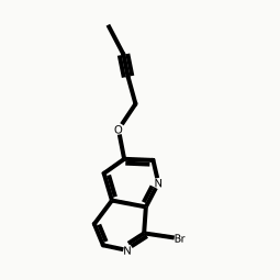 CC#CCOc1cnc2c(Br)nccc2c1